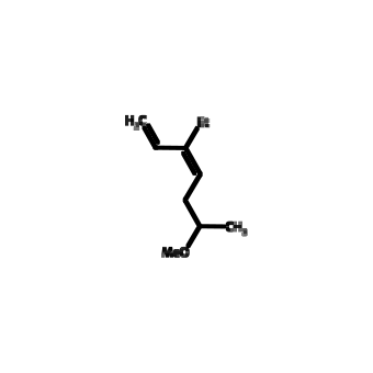 C=C/C(=C\CC(C)OC)CC